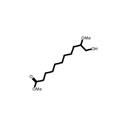 COC(=O)CCCCCCCCC(CO)OC